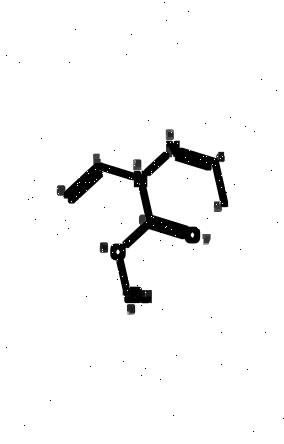 C=CN(/N=C\C)C(=O)OC(C)(C)C